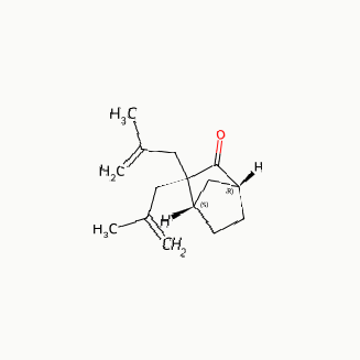 C=C(C)CC1(CC(=C)C)C(=O)[C@@H]2CC[C@H]1C2